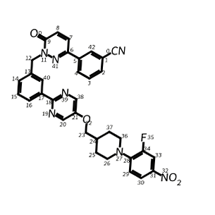 N#Cc1cccc(-c2ccc(=O)n(Cc3cccc(-c4ncc(OCC5CCN(c6ccc([N+](=O)[O-])cc6F)CC5)cn4)c3)n2)c1